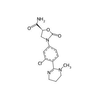 CN1CCCN=C1c1ccc(N2C[C@@H](C(N)=O)OC2=O)cc1Cl